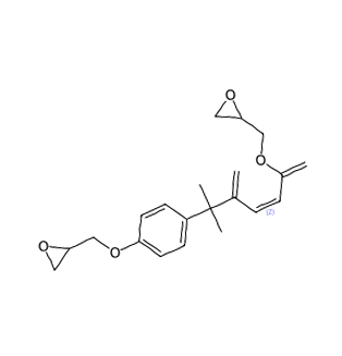 C=C(/C=C\C(=C)C(C)(C)c1ccc(OCC2CO2)cc1)OCC1CO1